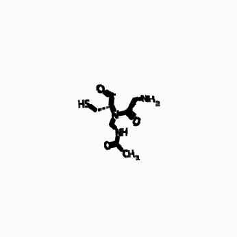 CC(=O)NCN(C(=O)CN)[C@@H]([C]=O)CS